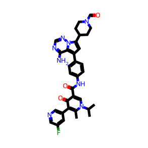 Cc1c(-c2cncc(F)c2)c(=O)c(C(=O)Nc2ccc(-c3cc(C4CCN(C=O)CC4)n4ncnc(N)c34)cc2)cn1C(C)C